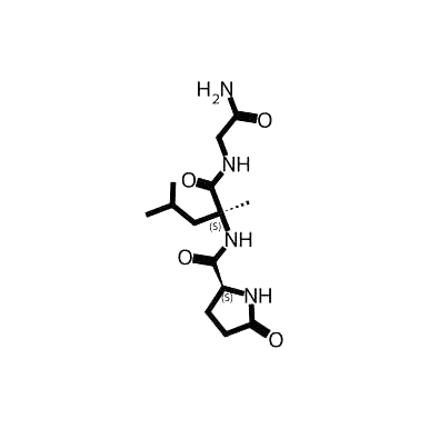 CC(C)C[C@](C)(NC(=O)[C@@H]1CCC(=O)N1)C(=O)NCC(N)=O